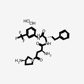 Cl.Cl.N[C@@H]1CCN(C(=O)C[C@H](N)C(=O)N[C@@H](CCc2ccccc2)C(=O)Nc2cccc(C(F)(F)F)c2)C1